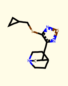 C1CC1CSc1nsnc1C1CN2CCC1CC2